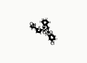 O=S(=O)(c1ccc(-c2ccon2)s1)N(Cc1ccccc1)c1nc2cc(Cl)ccc2o1